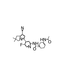 CC(=O)NC1=CCC[C@H](C(=O)Nc2cc(-c3cc(C#N)c4n3CC(C)(C)C4)c(F)cn2)C1